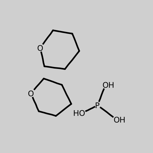 C1CCOCC1.C1CCOCC1.OP(O)O